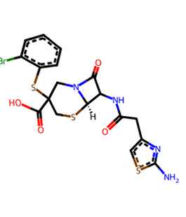 Nc1nc(CC(=O)NC2C(=O)N3CC(Sc4ccccc4Br)(C(=O)O)CS[C@H]23)cs1